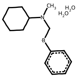 CN(C[B]c1ccccc1)C1CCCCC1.O.O